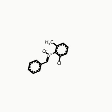 Cc1cccc(Cl)c1[N+]([O-])=Cc1ccccc1